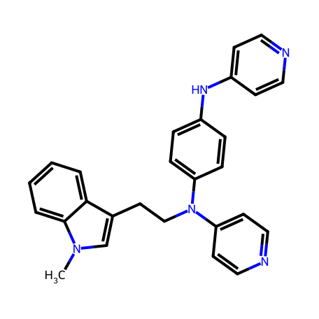 Cn1cc(CCN(c2ccncc2)c2ccc(Nc3ccncc3)cc2)c2ccccc21